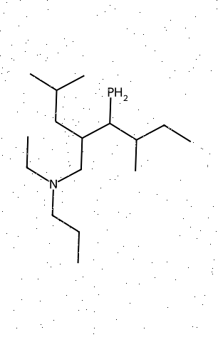 CCCN(CC)CC(CC(C)C)C(P)C(C)CC